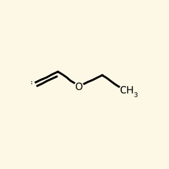 [C]=COCC